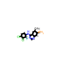 CC(=O)Oc1cc2c(Nc3ccc(Cl)c(Cl)c3F)ncnc2cc1P